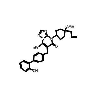 C=CCC1(OC)CCC(n2c(=O)c(Cc3ccc(-c4ccccc4C#N)cc3)c(CCC)n3ncnc23)CC1